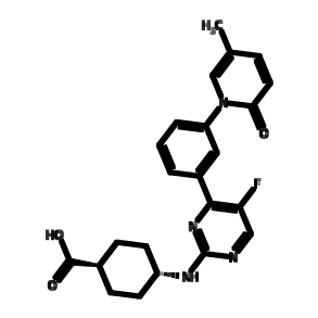 Cc1ccc(=O)n(-c2cccc(-c3nc(N[C@H]4CC[C@H](C(=O)O)CC4)ncc3F)c2)c1